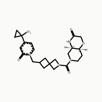 O=C1CO[C@H]2CCN(C(=O)N3CC4(CC(Cn5ccc(C6(C(F)(F)F)CC6)cc5=O)C4)C3)C[C@H]2N1